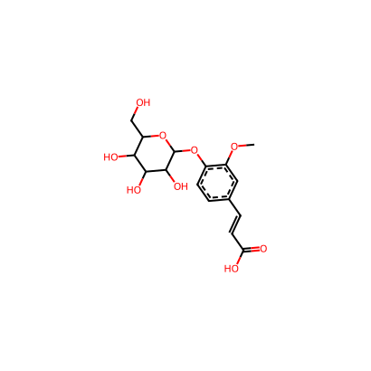 COc1cc(C=CC(=O)O)ccc1OC1OC(CO)C(O)C(O)C1O